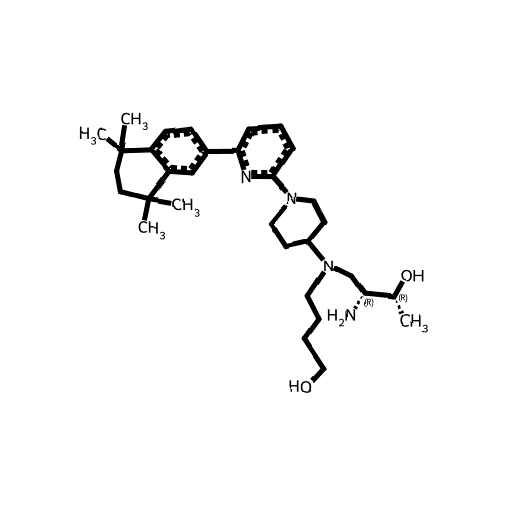 C[C@@H](O)[C@H](N)CN(CCCCO)C1CCN(c2cccc(-c3ccc4c(c3)C(C)(C)CCC4(C)C)n2)CC1